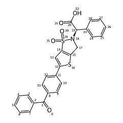 O=C(c1ccccc1)c1ccc(-c2cc3c(s2)CN([C@@H](C(=O)O)c2ccccc2)S3(=O)=O)cc1